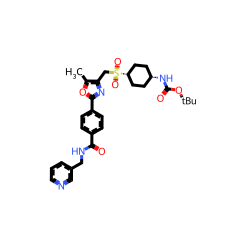 Cc1oc(-c2ccc(C(=O)NCc3cccnc3)cc2)nc1CS(=O)(=O)[C@H]1CC[C@@H](NC(=O)OC(C)(C)C)CC1